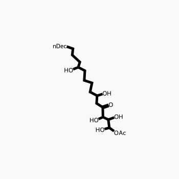 CCCCCCCCCCCCCC(O)CCCCC(O)CC(=O)C(O)C(O)C(O)OC(C)=O